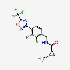 CC1CC1C(=O)NCc1ccc(-c2noc(C(F)(F)F)n2)c(F)c1F